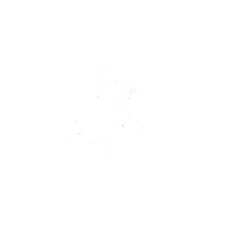 Bc1c(C(C)(C)C)cc(C(C)(C)C)c(C)c1C(C)(C)C